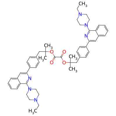 CCN1CCN(c2nc(-c3ccc(CC(C)(C)OC(=O)C(=O)OC(C)(C)Cc4ccc(-c5cc6ccccc6c(N6CCN(CC)CC6)n5)cc4)cc3)cc3ccccc23)CC1